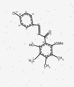 COc1c(C)c(C)c(C)c(O)c1C(=O)/C=C/c1ccc(Cl)cc1